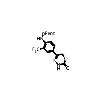 CCCCCNc1ccc(C2=NNC(=O)OC2)cc1C(F)(F)F